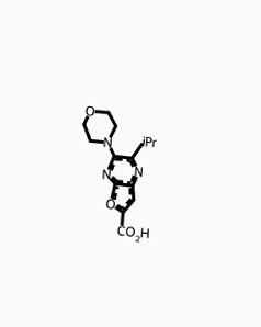 CC(C)c1nc2cc(C(=O)O)oc2nc1N1CCOCC1